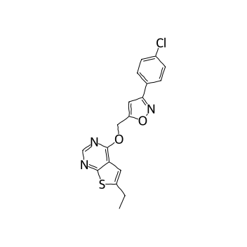 CCc1cc2c(OCc3cc(-c4ccc(Cl)cc4)no3)ncnc2s1